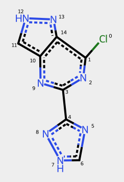 Clc1nc(-c2nc[nH]n2)nc2c[nH]nc12